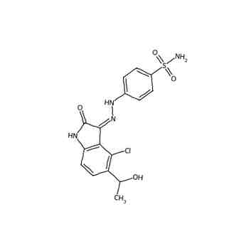 CC(O)c1ccc2c(c1Cl)/C(=N/Nc1ccc(S(N)(=O)=O)cc1)C(=O)N2